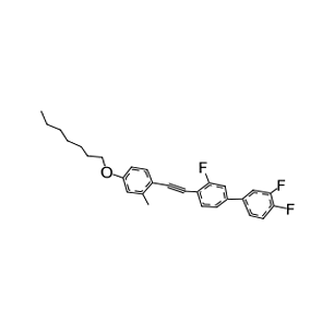 CCCCCCCOc1ccc(C#Cc2ccc(-c3ccc(F)c(F)c3)cc2F)c(C)c1